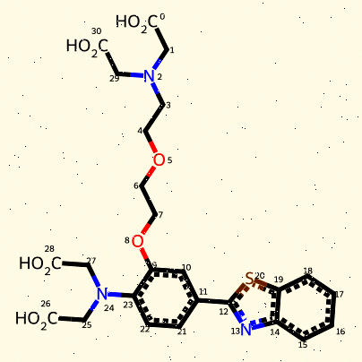 O=C(O)CN(CCOCCOc1cc(-c2nc3ccccc3s2)ccc1N(CC(=O)O)CC(=O)O)CC(=O)O